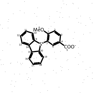 COc1ccc(C(=O)[O-])cc1-[s+]1c2ccccc2c2ccccc21